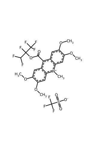 COc1cc2c(C(=O)OC(F)(C(F)F)C(F)(F)F)c3cc(OC)c(OC)cc3[n+](C)c2cc1OC.O=S(=O)([O-])C(F)(F)F